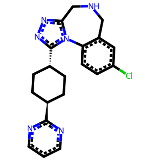 Clc1ccc2c(c1)CNCc1nnc([C@H]3CC[C@H](c4ncccn4)CC3)n1-2